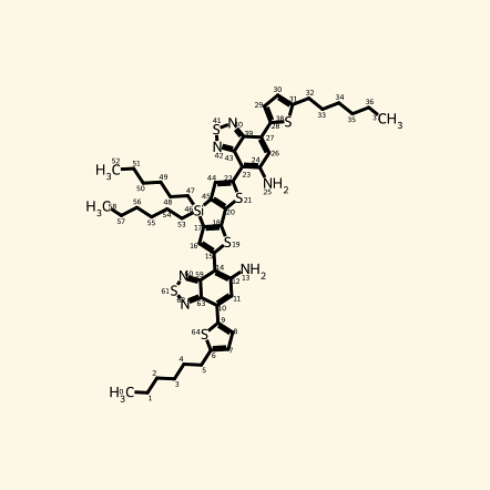 CCCCCCc1ccc(-c2cc(N)c(-c3cc4c(s3)-c3sc(-c5c(N)cc(-c6ccc(CCCCCC)s6)c6nsnc56)cc3[Si]4(CCCCCC)CCCCCC)c3nsnc23)s1